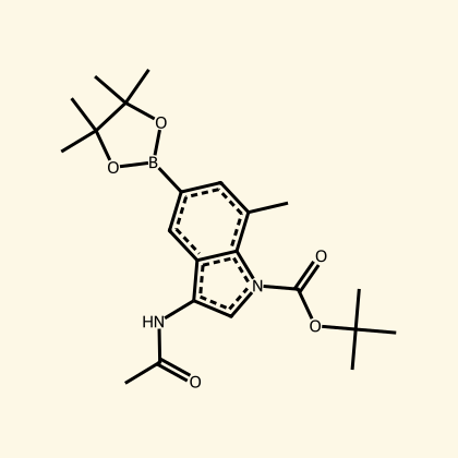 CC(=O)Nc1cn(C(=O)OC(C)(C)C)c2c(C)cc(B3OC(C)(C)C(C)(C)O3)cc12